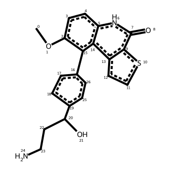 COc1ccc2[nH]c(=O)c3sccc3c2c1-c1ccc(C(O)CCN)cc1